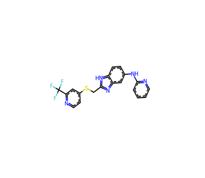 FC(F)(F)c1cc(SCc2nc3cc(Nc4ccccn4)ccc3[nH]2)ccn1